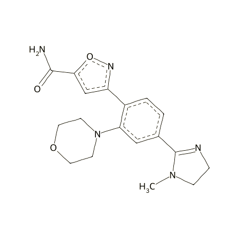 CN1CCN=C1c1ccc(-c2cc(C(N)=O)on2)c(N2CCOCC2)c1